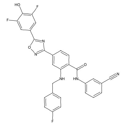 N#Cc1cccc(NC(=O)c2ccc(-c3noc(-c4cc(F)c(O)c(F)c4)n3)cc2NCc2ccc(F)cc2)c1